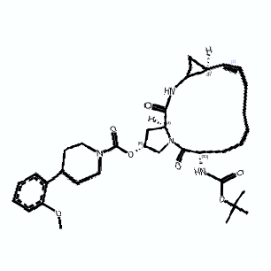 COc1ccccc1C1CCN(C(=O)O[C@@H]2C[C@H]3C(=O)NC4C[C@H]4/C=C\CCCCC[C@H](NC(=O)OC(C)(C)C)C(=O)N3C2)CC1